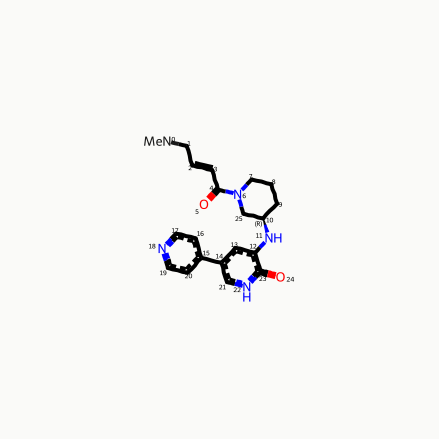 CNCC=CC(=O)N1CCC[C@@H](Nc2cc(-c3ccncc3)c[nH]c2=O)C1